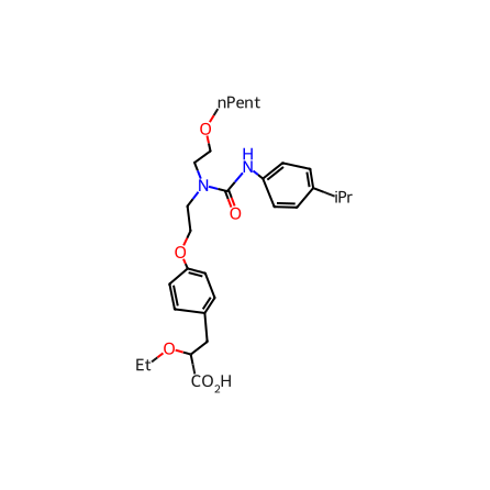 CCCCCOCCN(CCOc1ccc(CC(OCC)C(=O)O)cc1)C(=O)Nc1ccc(C(C)C)cc1